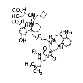 C=CCN1C[C@H](C(=O)N(CCCN(C)C)C(=O)NCC)C[C@@H]2c3cccc4[nH]cc(c34)C[C@H]21.O=C(O)C(O)C(O)C(=O)O.Oc1ccc2c(c1)[C@@]13CCCC[C@@]1(O)[C@@H](C2)N(CC1CCC1)CC3